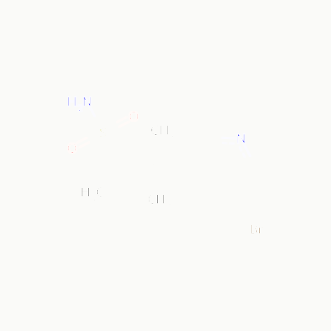 CC(C(C)(C)c1cncc(Br)c1)S(N)(=O)=O